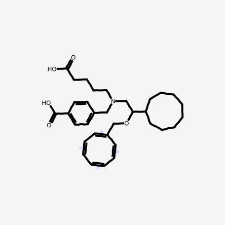 O=C(O)CCCCN(Cc1ccc(C(=O)O)cc1)CC(OCC1=C/C=C\C=C/C=C\1)C1CCCCCCCC1